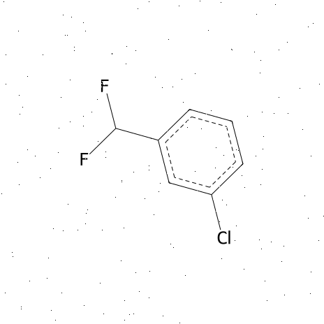 FC(F)c1cccc(Cl)c1